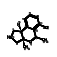 CC1O[C@@]2(C)CNC[C@H]2c2cccc(Cl)c21